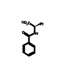 CC(C)[C@H](NC(=O)c1ccccc1)C(=O)O